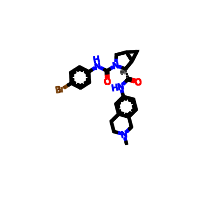 CN1CCc2cc(NC(=O)[C@H]3C4CC4CN3C(=O)Nc3ccc(Br)cc3)ccc2C1